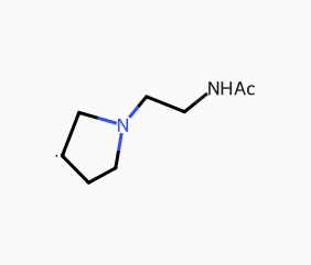 CC(=O)NCCN1C[CH]CC1